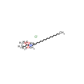 CCCCCCCCCCCCCCCCCC[N+](C)(C)C(OC)(OC)C(C[SiH3])OC.[Cl-]